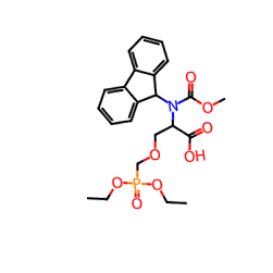 CCOP(=O)(COCC(C(=O)O)N(C(=O)OC)C1c2ccccc2-c2ccccc21)OCC